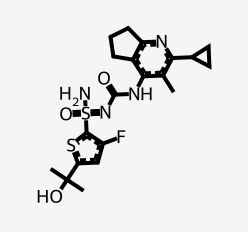 Cc1c(C2CC2)nc2c(c1NC(=O)N=S(N)(=O)c1sc(C(C)(C)O)cc1F)CCC2